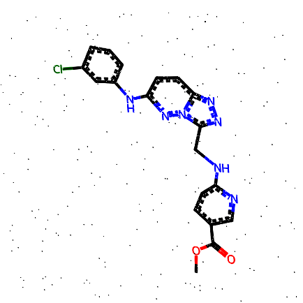 COC(=O)c1ccc(NCc2nnc3ccc(Nc4cccc(Cl)c4)nn23)nc1